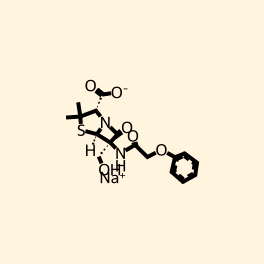 CC1(C)S[C@H]2N(C(=O)[C@@]2(CO)NC(=O)COc2ccccc2)[C@H]1C(=O)[O-].[Na+]